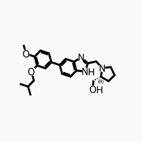 COc1ccc(-c2ccc3[nH]c(CN4CCC[C@@H]4CO)nc3c2)cc1OCC(C)C